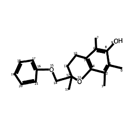 Cc1c(C)c2c(c(C)c1O)CCC(C)(COc1c[c]ccc1)O2